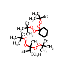 CCC(C(=O)O)C(C)(OOC(C)(C)CC)OOC(C)(C)CC.CCC(C)(C)OOC1(OOC(C)(C)CC)CCCCC1